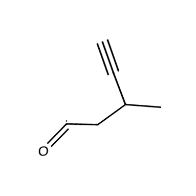 C#CC(C)C[C]=O